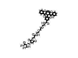 CC(C)N[C@@H](CSC1CC(=O)N(CCC(=O)NCCOCCOCCNC(=O)c2ccc(C(c3c(O)c4ccccc4oc3=O)c3c(O)c4ccccc4oc3=O)cc2)C1=O)C(=O)C(C)C